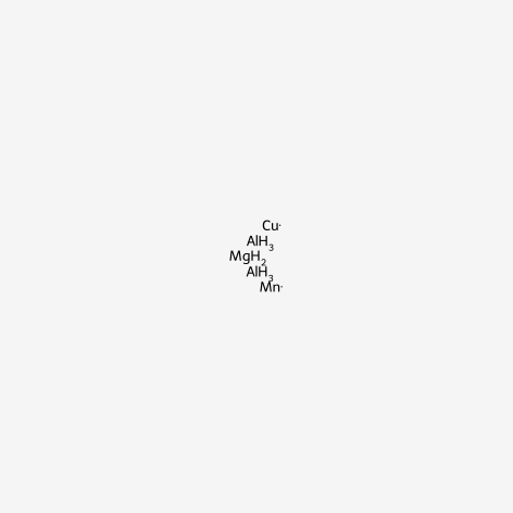 [AlH3].[AlH3].[Cu].[MgH2].[Mn]